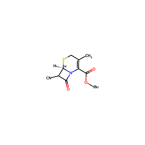 [C-]#[N+]C1C(=O)N2C(C(=O)OC(C)(C)C)=C(C)CS[C@H]12